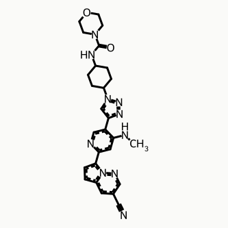 CNc1cc(-c2ccc3cc(C#N)cnn23)ncc1-c1cn(C2CCC(NC(=O)N3CCOCC3)CC2)nn1